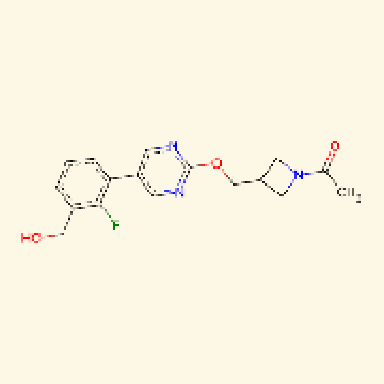 CC(=O)N1CC(COc2ncc(-c3cccc(CO)c3F)cn2)C1